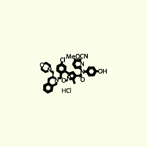 COc1ccc(N(C(=O)c2cc(-c3cc(Cl)ccc3C(=O)N3Cc4ccccc4C[C@H]3CN3CCOCC3)n(C)c2C)c2ccc(O)cc2)nc1C#N.Cl